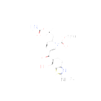 CC(=O)Nc1nc2c(s1)C(O)=C(C(=O)C1=CN(C(=O)OC(C)(C)C)C(CC(C)(C)OC(N)=O)C=C1)CC2